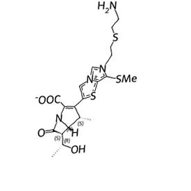 CSc1c2sc(C3=C(C(=O)[O-])N4C(=O)[C@H]([C@@H](C)O)[C@H]4[C@H]3C)c[n+]2cn1CCSCCN